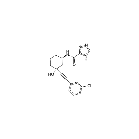 O=C(N[C@@H]1CCC[C@](O)(C#Cc2cccc(Cl)c2)C1)c1nnc[nH]1